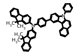 CC1(C)c2ccccc2-c2ccc(N(c3ccc(-c4ccc5c(c4)c4c6ccccc6ccc4n5-c4ccccc4)cc3)c3ccc4c(c3)C(C)(C)c3ccccc3-4)cc21